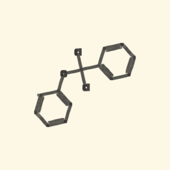 ClC(Cl)(Oc1[c]cccc1)c1ccccc1